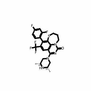 C[C@@H]1CN(c2nc(=O)n3c4c(c(-c5ccc(F)cc5F)c(C(F)(F)F)cc24)SCCC3)C[C@H](C)N1